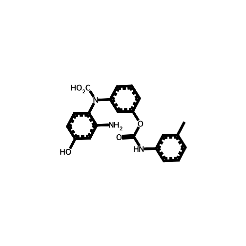 Cc1cccc(NC(=O)Oc2cccc(N(C(=O)O)c3ccc(O)cc3N)c2)c1